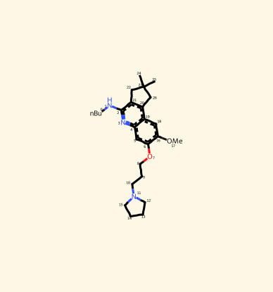 CCCCNc1nc2cc(OCCCN3CCCC3)c(OC)cc2c2c1CC(C)(C)C2